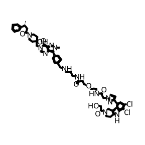 C[C@H](CC(=O)N1CCC(O)(Cn2cnc3c(-c4ccc(CNCCCNC(=O)CCOCCNC(=O)Cn5ccc(-c6cc(Cl)c(Cl)c7[nH]c8c(c67)CN(C(=O)CO)CC8)n5)cc4)n(C)nc3c2=O)CC1)c1ccccc1